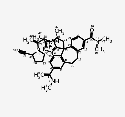 C=C(NC)c1ccc2c(c1)CCc1cc(C(=O)N(C)C)ccc1C2(C[C@@H](C)NCC(=C)N1CCCC1C#N)c1nnc(C)[nH]1